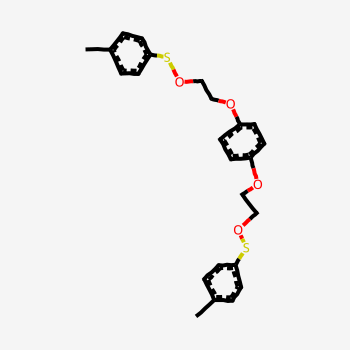 Cc1ccc(SOCCOc2ccc(OCCOSc3ccc(C)cc3)cc2)cc1